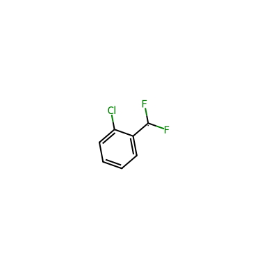 F[C](F)c1ccccc1Cl